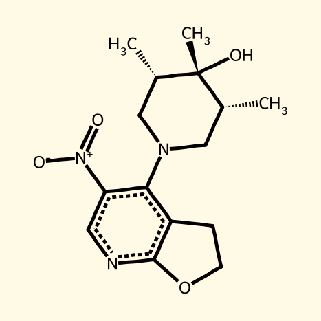 C[C@@H]1CN(c2c([N+](=O)[O-])cnc3c2CCO3)C[C@H](C)[C@]1(C)O